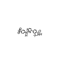 CC1(C)CNC(=O)c2ccc(-c3ccnc(Nc4ccc(S(C)(=O)=O)cc4)n3)cc21